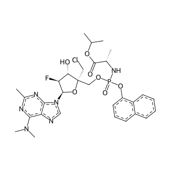 Cc1nc(N(C)C)c2ncn([C@@H]3O[C@](CCl)(COP(=O)(N[C@@H](C)C(=O)OC(C)C)Oc4cccc5ccccc45)[C@@H](O)[C@@H]3F)c2n1